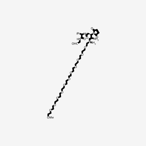 COCCOCCOCCOCCOCCOCCOCCOCCOCCOCCOCCOCCN(N)/C=C(\N)[C@@H](CC(=O)NC(C(=O)NCC=O)C(C)C)N1C(=O)C=CC1=O